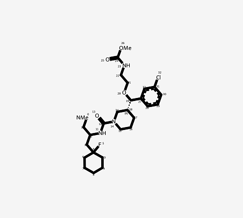 CNCC(CC1(F)CCCCC1)NC(=O)N1CCC[C@@H](C(OCCNC(=O)OC)c2cccc(Cl)c2)C1